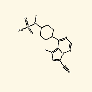 Cc1cc(C#N)n2ncnc(N3CCC(N(C)S(N)(=O)=O)CC3)c12